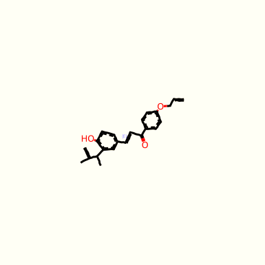 C=CCOc1ccc(C(=O)/C=C/c2ccc(O)c(C(C)C(=C)C)c2)cc1